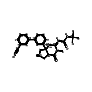 CN1C(=O)C2CNCC2(c2cccc(-c3cccc(C#N)c3)c2)N/C1=N/C(=O)OC(C)(C)C